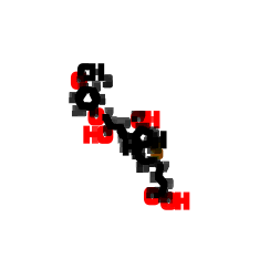 COc1ccc(OC[C@H](O)/C=C/[C@@H]2[C@H]3CC[C@H](CCCC(=O)O)S[C@H]3C[C@H]2O)cc1